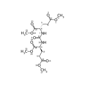 COC(=O)CC[C@H](NC(=O)N[C@@H](CCC(=O)OC)C(=O)OC)C(=O)OC